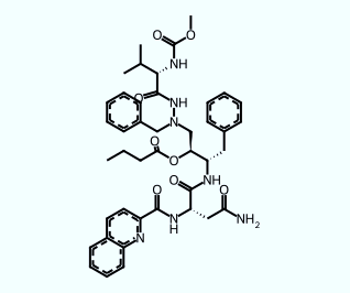 CCCC(=O)O[C@@H](CN(Cc1ccccc1)NC(=O)[C@@H](NC(=O)OC)C(C)C)[C@H](Cc1ccccc1)NC(=O)[C@H](CC(N)=O)NC(=O)c1ccc2ccccc2n1